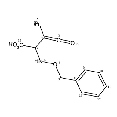 CC(C)C(=C=O)C(NOCc1ccccc1)C(=O)O